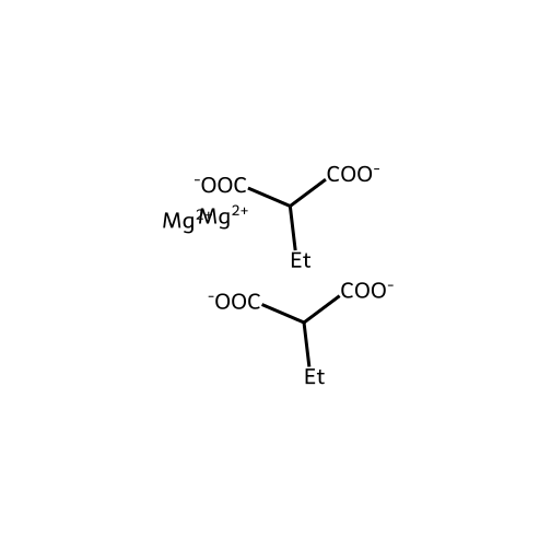 CCC(C(=O)[O-])C(=O)[O-].CCC(C(=O)[O-])C(=O)[O-].[Mg+2].[Mg+2]